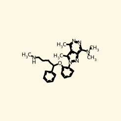 CNCCCC(Oc1ccccc1-n1nc2c(N(C)C)nnc(C)c2c1C)c1ccccc1